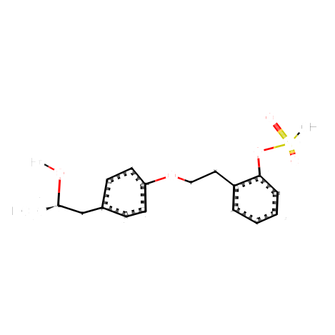 CCO[C@@H](Cc1ccc(OCCc2ccccc2OS(C)(=O)=O)cc1)C(=O)O